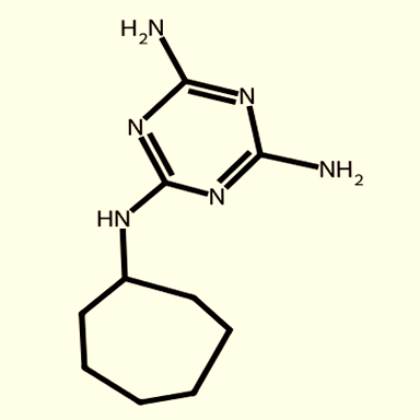 Nc1nc(N)nc(NC2CCCCCC2)n1